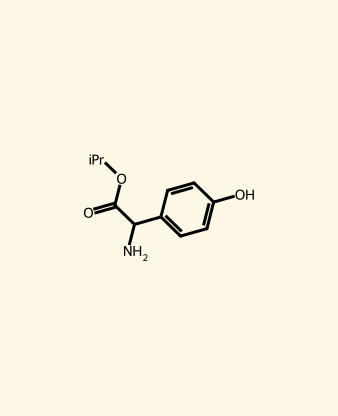 CC(C)OC(=O)C(N)c1ccc(O)cc1